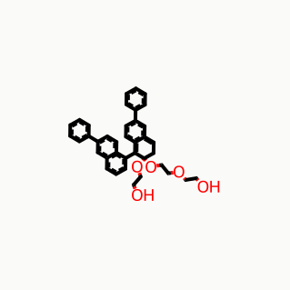 OCCOCCOC1(OCCO)CC=c2cc(-c3ccccc3)ccc2=C1c1cccc2cc(-c3ccccc3)ccc12